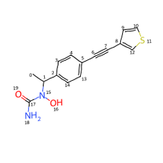 CC(c1ccc(C#Cc2ccsc2)cc1)N(O)C(N)=O